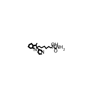 CC1=c2ccccc2=NC1(CCCCCCN(O)C(N)=O)c1cccnc1